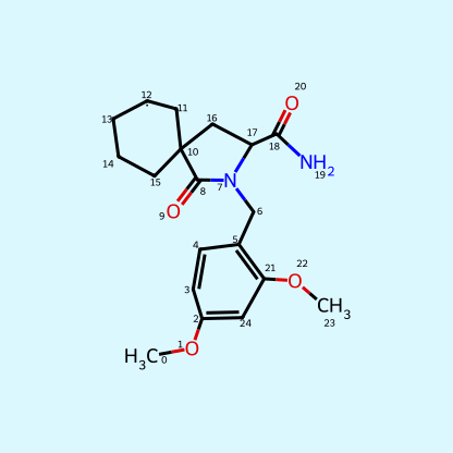 COc1ccc(CN2C(=O)C3(C[CH]CCC3)CC2C(N)=O)c(OC)c1